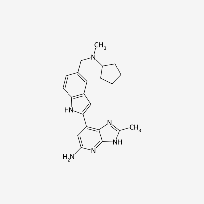 Cc1nc2c(-c3cc4cc(CN(C)C5CCCC5)ccc4[nH]3)cc(N)nc2[nH]1